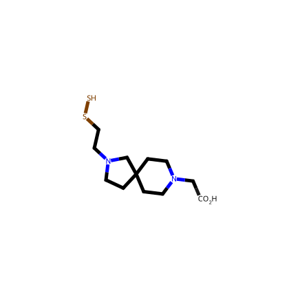 O=C(O)CN1CCC2(CC1)CCN(CCSS)C2